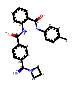 Cc1ccc(NC(=O)c2ccccc2NC(=O)c2ccc(C(=N)N3CCC3)cc2)cc1